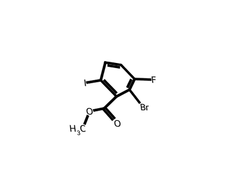 COC(=O)c1c(I)ccc(F)c1Br